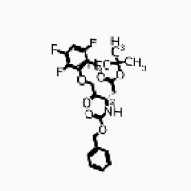 CC(C)(C)OC(=O)C[C@H](NC(=O)OCc1ccccc1)C(=O)COc1c(F)c(F)cc(F)c1F